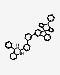 C1=CC2=C(c3ccccc3)NC(c3cccc(C4C=C(c5ccc6c(c5)-c5ccccc5C65c6ccccc6N(c6ccccc6)c6ccccc65)C=CC4)c3)NC2C=C1